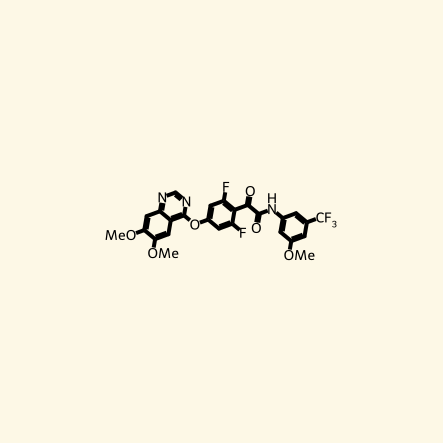 COc1cc(NC(=O)C(=O)c2c(F)cc(Oc3ncnc4cc(OC)c(OC)cc34)cc2F)cc(C(F)(F)F)c1